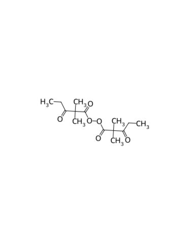 CCC(=O)C(C)(C)C(=O)OOC(=O)C(C)(C)C(=O)CC